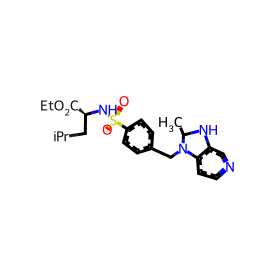 CCOC(=O)[C@H](CC(C)C)NS(=O)(=O)c1ccc(CN2c3ccncc3NC2C)cc1